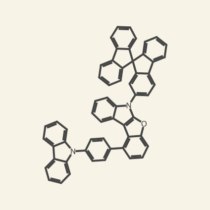 c1ccc2c(c1)-c1ccccc1C21c2ccccc2-c2ccc(-n3c4ccccc4c4c5c(-c6ccc(-n7c8ccccc8c8ccccc87)cc6)cccc5oc43)cc21